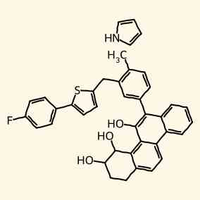 Cc1ccc(-c2c(O)c3c4c(ccc3c3ccccc23)CCC(O)C4O)cc1Cc1ccc(-c2ccc(F)cc2)s1.c1cc[nH]c1